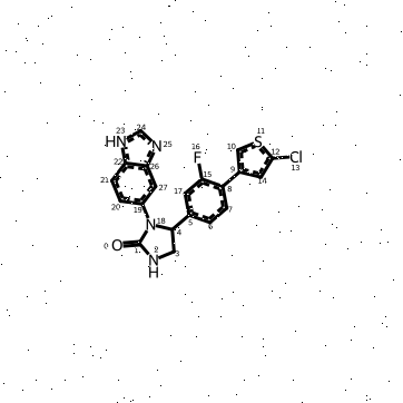 O=C1NCC(c2ccc(-c3csc(Cl)c3)c(F)c2)N1c1ccc2[nH]cnc2c1